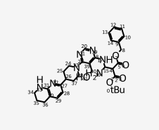 CC(C)(C)OC(=O)C(C(=O)OCc1ccccc1)C(N)Nc1ncnc(N2CCC(c3ccc4c(n3)NCCC4)CC2)c1CO